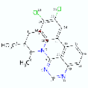 CC1C(C(=O)O)CCCN1c1ncnc2cccc(-c3ccc(Cl)c(Cl)c3)c12